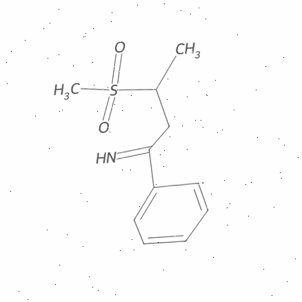 CC(CC(=N)c1[c]cccc1)S(C)(=O)=O